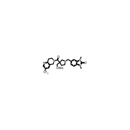 COCC1(C(=O)N2CCc3ncc(C(F)(F)F)cc3C2)CCN(Cc2ccc3c(c2)n(C)c(=O)n3C)C1